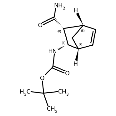 CC(C)(C)OC(=O)N[C@@H]1[C@H](C(N)=O)[C@@H]2C=C[C@H]1C2